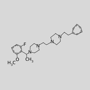 COc1cccc(F)c1C(C)N1CCN(CCN2CCN(CCc3ccccc3)CC2)CC1